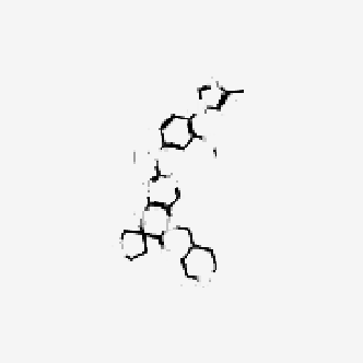 COc1cc(Nc2ncc3c(n2)NC2(CCOC2)C(=O)N3CC2CCOCC2)ccc1-n1cnc(C)c1